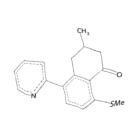 CSc1ccc(-c2ccccn2)c2c1C(=O)CC(C)C2